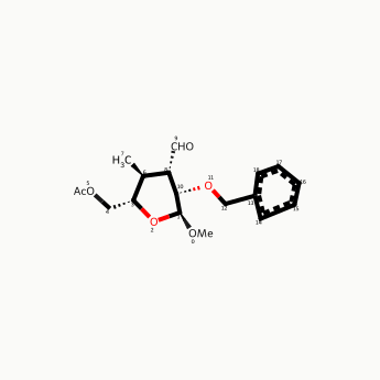 CO[C@H]1O[C@H](COC(C)=O)[C@@H](C)[C@H](C=O)[C@@H]1OCc1ccccc1